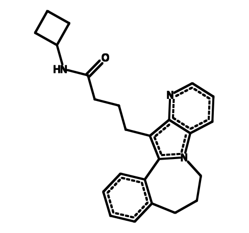 O=C(CCCc1c2n(c3cccnc13)CCCc1ccccc1-2)NC1CCC1